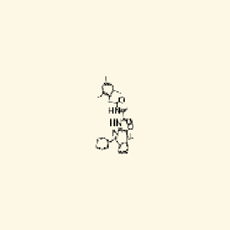 Cc1cc(C)c(CC(=O)N[C@@H](C)C(=O)N[C@H]2N=C(c3ccccc3)c3ccccc3N(C)C2=O)c(C)c1